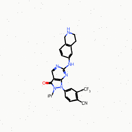 CC(C)n1c(=O)c2cnc(Nc3ccc4c(c3)CCNC4)nc2n1-c1ccc(C#N)c(C(F)(F)F)c1